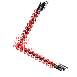 O=C(O)O.O=C(O)O.O=C(O)O.O=C(O)O.O=C(O)O.O=C([O-])[O-].O=C([O-])[O-].O=C([O-])[O-].O=C([O-])[O-].O=C([O-])[O-].O=C([O-])[O-].O=C([O-])[O-].O=C([O-])[O-].O=C([O-])[O-].O=C([O-])[O-].O=C([O-])[O-].O=C([O-])[O-].O=C([O-])[O-].O=C([O-])[O-].O=C([O-])[O-].[Ca+2].[Ca+2].[Ca+2].[Ca+2].[Ca+2].[Ca+2].[Ca+2].[Ca+2].[Ca+2].[Ca+2].[Ca+2].[Ca+2].[Ca+2].[Ca+2].[Ca+2]